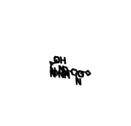 N#Cc1cc(-c2ccnc(Nc3cnn(CC4CC4CO)c3)n2)ccc1OCC1CCC1